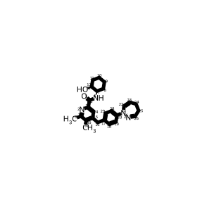 Cc1nc(C(=O)N[C@H]2CCCC[C@@H]2O)cc(Cc2ccc(N3C=CCCC=N3)cc2)c1C